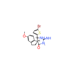 COc1ccc2c(c1)CC[C@@]21C(=O)N(C)C(=N)N[C@]1(C)c1ccc(Br)s1